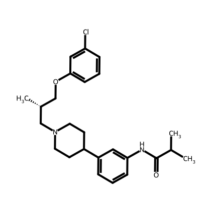 CC(C)C(=O)Nc1cccc(C2CCN(C[C@H](C)COc3cccc(Cl)c3)CC2)c1